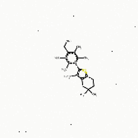 CNCc1c(C)c(C)c(-c2sc3c(c2C(=O)O)CC(C)(C)CC3)c(C)c1C